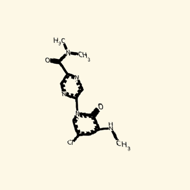 CNc1cc(Cl)cn(-c2cnc(C(=O)N(C)C)cn2)c1=O